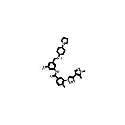 Cc1ccc(C(=O)Nc2cc(CNC3CCC(N4CCCC4)CC3)cc(C(F)(F)F)c2)cc1-n1cc(-c2cnn(C)c2C)nn1